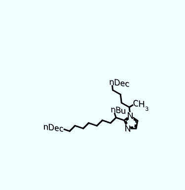 CCCCCCCCCCCCCCCCCC(CCCC)c1nccn1C(C)CCCCCCCCCCCCC